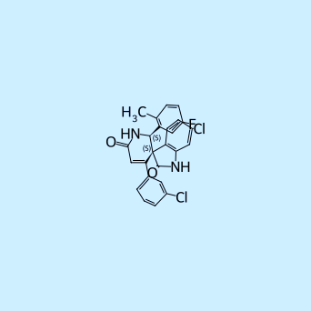 Cc1ccc(F)cc1[C@@H]1NC(=O)C=C(c2cccc(Cl)c2)[C@@]12C(=O)Nc1cc(Cl)ccc12